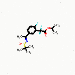 CC(=N[S@+]([O-])C(C)(C)C)c1ccc(F)c(C(F)(F)C(=O)OC(C)C)c1